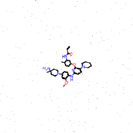 C=CC(=O)Nc1cc(Oc2nc(Nc3ccc(N4CCC(C)(N)CC4)cc3OC)ccc2N2CCCCC2)ccc1C